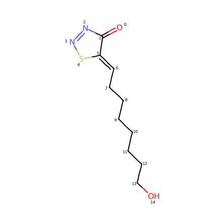 O=C1N=NSC1=CCCCCCCCO